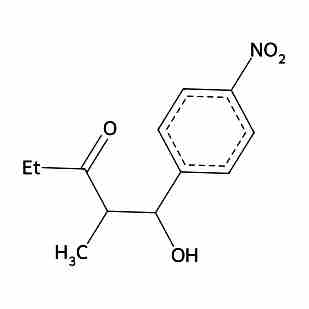 CCC(=O)C(C)C(O)c1ccc([N+](=O)[O-])cc1